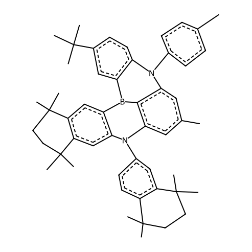 Cc1ccc(N2c3ccc(C(C)(C)C)cc3B3c4cc5c(cc4N(c4ccc6c(c4)C(C)(C)CCC6(C)C)c4cc(C)cc2c43)C(C)(C)CCC5(C)C)cc1